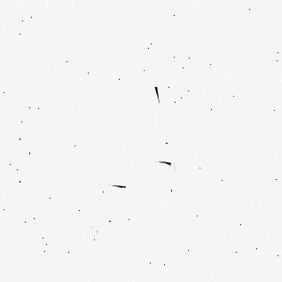 CN1C(=O)CC[C@]2(C)[C@H]3CC[C@]4(C)C(OS(=O)(=O)C(F)(F)F)=CC[C@H]4[C@@H]3CC[C@@H]12